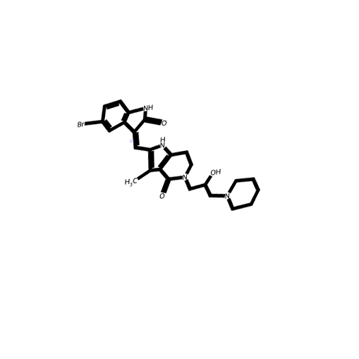 Cc1c(/C=C2\C(=O)Nc3ccc(Br)cc32)[nH]c2c1C(=O)N(CC(O)CN1CCCCC1)CC2